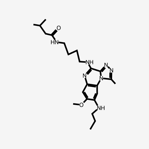 CCCNc1cc2c(cc1OC)nc(NCCCCNC(=O)CC(C)C)c1nnc(C)n12